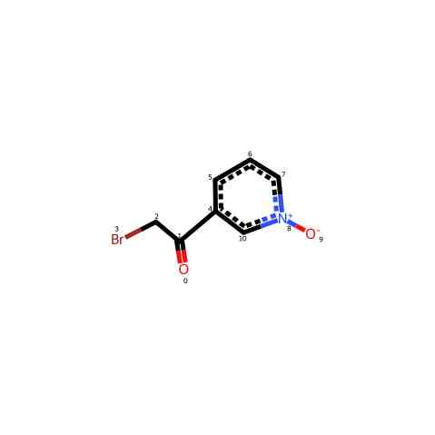 O=C(CBr)c1ccc[n+]([O-])c1